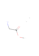 CC(=O)OC(=O)CN.[CaH2].[CaH2]